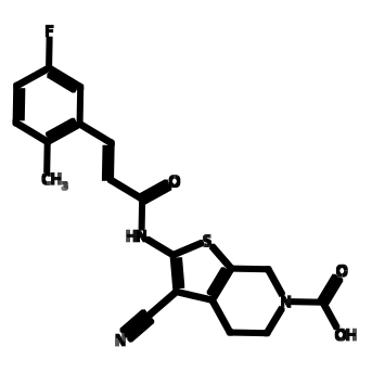 Cc1ccc(F)cc1C=CC(=O)Nc1sc2c(c1C#N)CCN(C(=O)O)C2